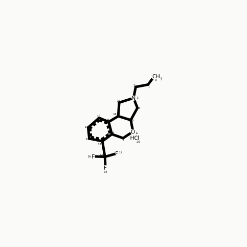 CCCN1CC2OCc3c(cccc3C(F)(F)F)C2C1.Cl